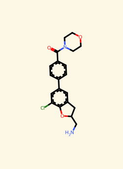 NCC1Cc2cc(-c3ccc(C(=O)N4CCOCC4)cc3)cc(Cl)c2O1